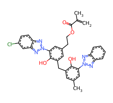 C=C(C)C(=O)OCCc1cc(Cc2cc(C)cc(-n3nc4ccccc4n3)c2O)c(O)c(-n2nc3ccc(Cl)cc3n2)c1